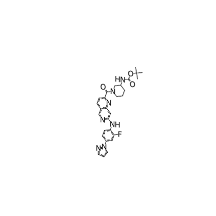 CC(C)(C)OC(=O)NC1CCCN(C(=O)c2ccc3cnc(Nc4ccc(-n5cccn5)cc4F)cc3n2)C1